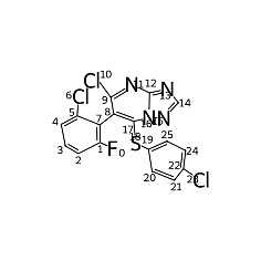 Fc1cccc(Cl)c1-c1c(Cl)nc2ncnn2c1Sc1ccc(Cl)cc1